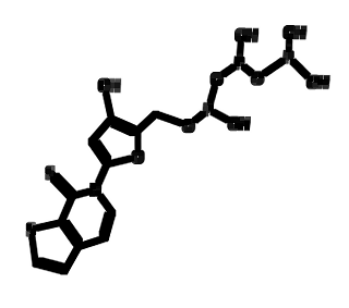 Oc1cc(-n2ccc3ccsc3c2=S)oc1COP(O)OP(O)OP(O)O